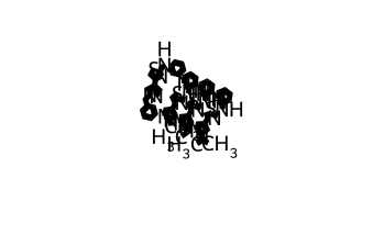 CC(C)n1cc(-c2csc(Nc3ccccn3)n2)cn1.CCn1cc(-c2csc(Nc3ccccn3)n2)cn1.Cn1cc(-c2csc(Nc3ccccn3)n2)cn1.c1ccc(Cn2cc(-c3csc(Nc4ccccc4)n3)cn2)cc1